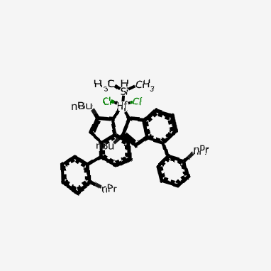 CCCCC1=Cc2c(-c3ccccc3CCC)cccc2[CH]1[Hf]([Cl])([Cl])([CH]1C(CCCC)=Cc2c(-c3ccccc3CCC)cccc21)[SiH](C)C